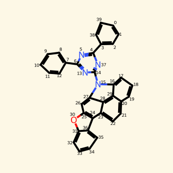 c1ccc(-c2nc(-c3ccccc3)nc(-n3c4cccc5ccc6c7c(cc3c6c54)oc3ccccc37)n2)cc1